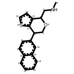 CNCC1OCC(c2ccc3ccccc3c2)c2sccc21